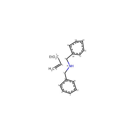 C=CC(=O)OCC.c1ccc(CNCc2ccccc2)cc1